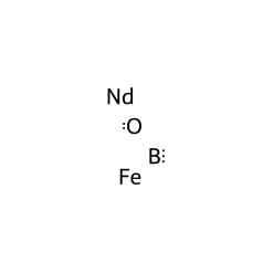 [B].[Fe].[Nd].[O]